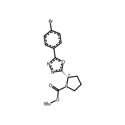 CC(C)(C)OC(=O)N1CCC[C@H]1c1nnc(-c2ccc(Br)cc2)o1